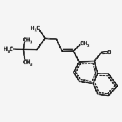 CC(=CCC(C)CC(C)(C)C)c1ccc2ccccc2c1C=O